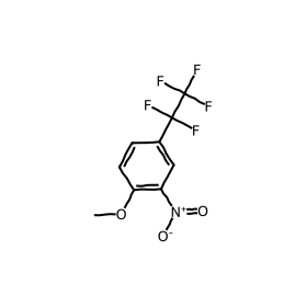 COc1ccc(C(F)(F)C(F)(F)F)cc1[N+](=O)[O-]